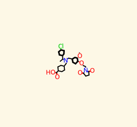 COc1cc(CN(CC2CCC(C(=O)O)CC2)C(C)c2ccc(Cl)cc2)ccc1OCCN1C(=O)CCC1=O